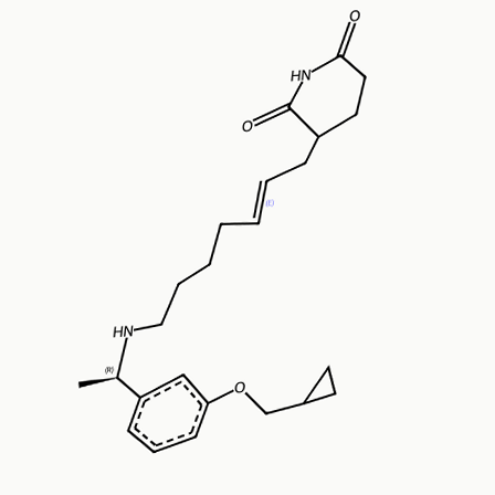 C[C@@H](NCCCC/C=C/CC1CCC(=O)NC1=O)c1cccc(OCC2CC2)c1